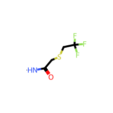 [NH]C(=O)CSCC(F)(F)F